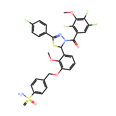 C=S(N)(=O)c1ccc(COc2cccc(C3SC(c4ccc(F)cc4)=NN3C(=O)c3cc(F)c(F)c(OC)c3F)c2OC)cc1